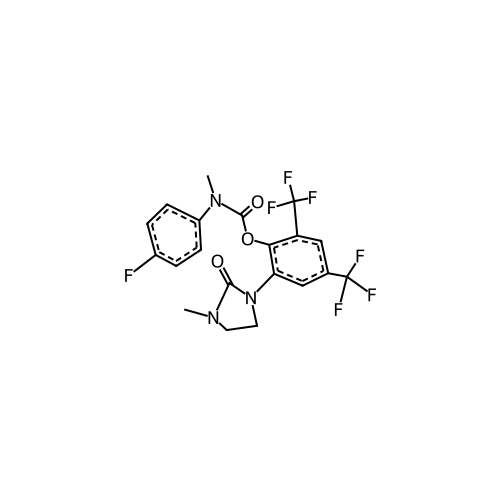 CN1CCN(c2cc(C(F)(F)F)cc(C(F)(F)F)c2OC(=O)N(C)c2ccc(F)cc2)C1=O